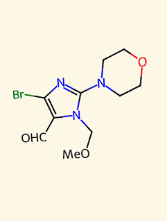 COCn1c(N2CCOCC2)nc(Br)c1C=O